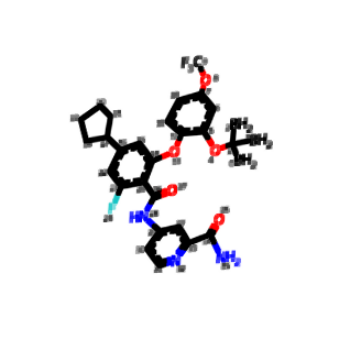 BC(B)(B)Oc1cc(OC(F)(F)F)ccc1Oc1cc(C2CCCC2)cc(F)c1C(=O)Nc1ccnc(C(N)=O)c1